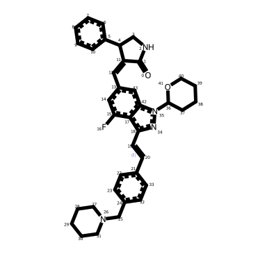 O=C1NCC(c2ccccc2)C1=Cc1cc(F)c2c(/C=C/c3ccc(CN4CCCCC4)cc3)nn(C3CCCCO3)c2c1